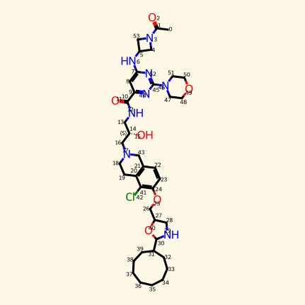 CC(=O)N1CC(Nc2cc(C(=O)NC[C@H](O)CN3CCc4c(ccc(OCC5CNC(C6CCCCCCCC6)O5)c4Cl)C3)nc(N3CCOCC3)n2)C1